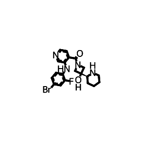 O=C(c1ccncc1Nc1ccc(Br)cc1F)N1CC(O)([C@@H]2CCCCN2)C1